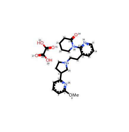 COc1cccc(C2CCN(CCc3cccnc3N3CCCCC3=O)C2)n1.O=C(O)C(=O)O